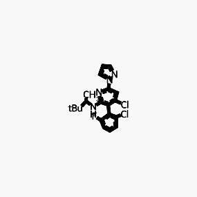 CC(Nc1nc(-n2cccn2)cc(Cl)c1-c1c(F)cccc1Cl)C(C)(C)C